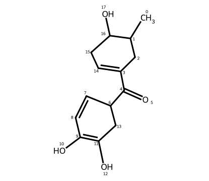 CC1CC(C(=O)C2C=CC(O)=C(O)C2)=CCC1O